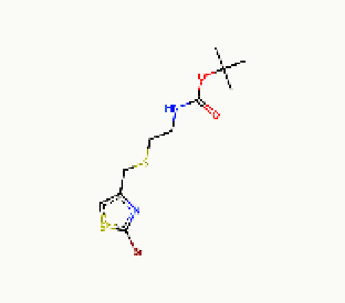 CC(C)(C)OC(=O)NCCSCc1csc(Br)n1